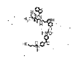 C#CCCCC(=O)Nc1ccc(C(=O)c2ccc(NC(=O)COc3ccc4[nH]cc(CCNc5nc(-c6csc7ccccc67)nc6c5ncn6C(C)C)c4c3)cc2)cc1